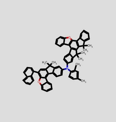 Cc1ccc(N(c2ccc3c(c2)C(C)(C)c2cc(-c4cccc5ccccc45)c4oc5ccccc5c4c2-3)c2ccc3c(c2)C(C)(C)c2c4c(c5oc6ccccc6c5c2-3)-c2ccccc2C4(C)C)c(C)c1